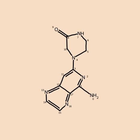 Nc1nc(N2CCNC(=O)C2)cc2nccnc12